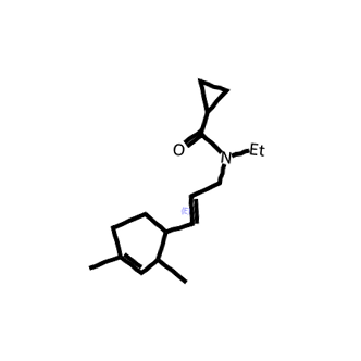 CCN(C/C=C/C1CCC(C)=CC1C)C(=O)C1CC1